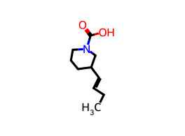 CCC=CC1CCCN(C(=O)O)C1